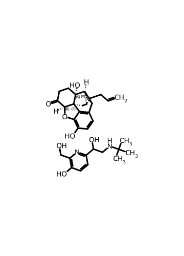 C=CCN1CC[C@]23c4c5ccc(O)c4O[C@H]2C(=O)CC[C@@]3(O)[C@H]1C5.CC(C)(C)NCC(O)c1ccc(O)c(CO)n1